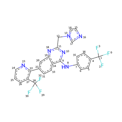 FC(F)(F)c1ccc(Nc2nc(Cn3ccnc3)nc3cc(-c4ncccc4C(F)(F)F)ccc23)cc1